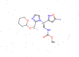 C[C@H](OC1CCCCO1)c1nccn1[C@H](CNC(=O)OC(C)(C)C)c1cc(I)on1